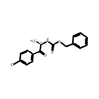 C[C@@H](NC(=O)OCc1ccccc1)C(=O)c1ccc(Cl)cc1